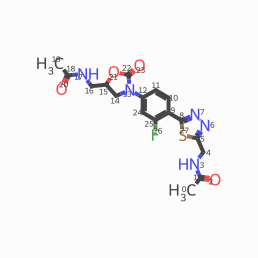 CC(=O)NCc1nnc(-c2ccc(N3CC(CNC(C)=O)OC3=O)cc2F)s1